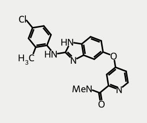 CNC(=O)c1cc(Oc2ccc3[nH]c(Nc4ccc(Cl)cc4C)nc3c2)ccn1